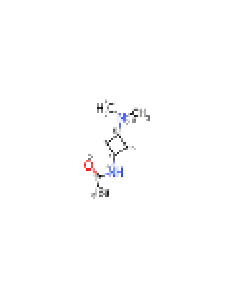 CCC(C)C(=O)NC1CC(N(C)C)C1